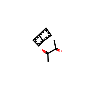 CC(=O)C(C)=O.c1cc2ccc1-2